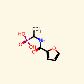 O=C(NC(C(Cl)(Cl)Cl)P(=O)(O)O)c1ccco1